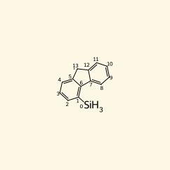 [SiH3]c1cccc2c1-c1ccccc1[CH]2